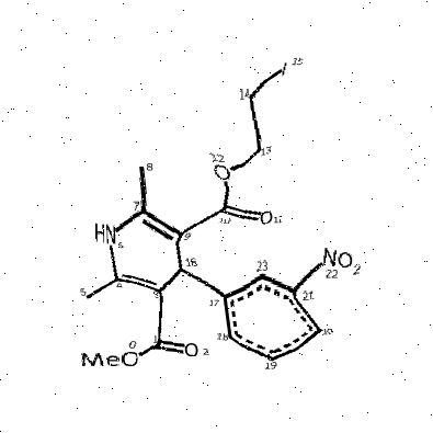 COC(=O)C1=C(C)NC(C)=C(C(=O)OCCI)C1c1cccc([N+](=O)[O-])c1